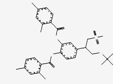 Cc1ccc(C(=O)Oc2ccc(C(CNC(C)(C)C)CS(=O)(=O)O)cc2OC(=O)c2ccc(C)cc2C)c(C)c1